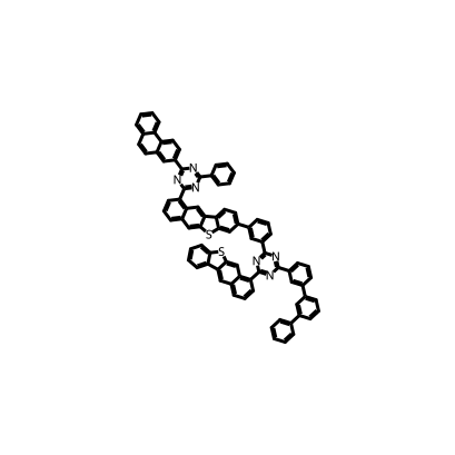 c1ccc(-c2cccc(-c3cccc(-c4nc(-c5cccc(-c6ccc7c(c6)sc6cc8cccc(-c9nc(-c%10ccccc%10)nc(-c%10ccc%11c(ccc%12ccccc%12%11)c%10)n9)c8cc67)c5)nc(-c5cccc6cc7c(cc56)sc5ccccc57)n4)c3)c2)cc1